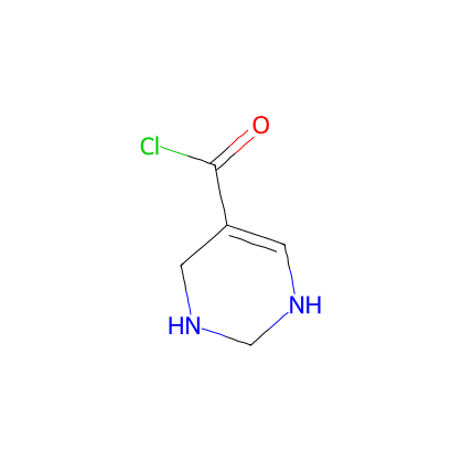 O=C(Cl)C1=CNCNC1